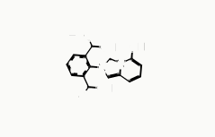 CC1=CC=CC2=CN(c3c(C(C)C)cccc3C(C)C)CN12